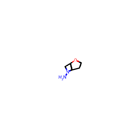 NN1CC2OCCC21